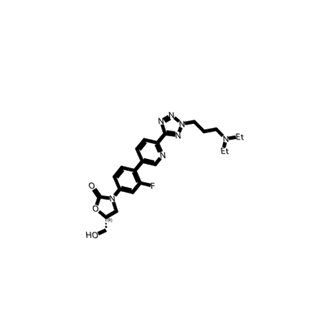 CCN(CC)CCCn1nnc(-c2ccc(-c3ccc(N4C[C@H](CO)OC4=O)cc3F)cn2)n1